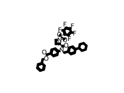 O=C(OCc1ccccc1)c1ccc(N(Cc2ccc(C3CCCCC3)cc2)C(=O)[C@H]2CCN2S(=O)(=O)c2c(F)c(F)c(F)c(F)c2F)cc1